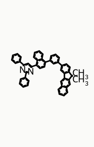 CC1(C)c2ccc(-c3cccc(-c4ccc(-c5cc(-c6ccccc6)nc(-c6ccccc6)n5)c5ccccc45)c3)cc2-c2cc3ccccc3cc21